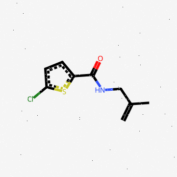 C=C(C)CNC(=O)c1ccc(Cl)s1